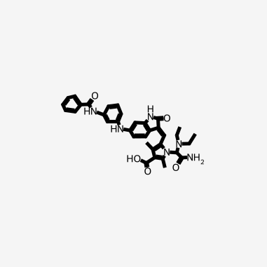 CCN(CC)C(C(N)=O)n1c(C)c(C(=O)O)c(C)c1C=C1C(=O)Nc2cc(Nc3cccc(NC(=O)c4ccccc4)c3)ccc21